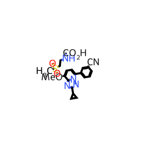 COc1ccc(-c2cccc(C#N)c2)n2nc(C3CC3)nc12.CS(=O)(=O)CCNC(=O)O